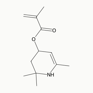 C=C(C)C(=O)OC1C=C(C)NC(C)(C)C1